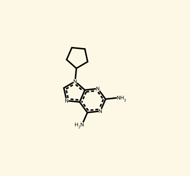 Nc1nc(N)c2ncn(C3CCCC3)c2n1